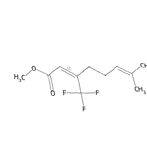 COC(=O)/C=C(/CCC=C(C)C)C(F)(F)F